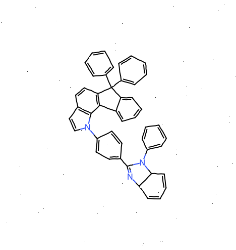 C1=CC2N=C(c3ccc(-n4ccc5ccc6c(c54)-c4ccccc4C6(c4ccccc4)c4ccccc4)cc3)N(c3ccccc3)C2C=C1